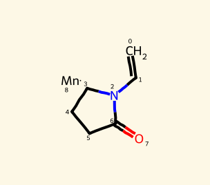 C=CN1CCCC1=O.[Mn]